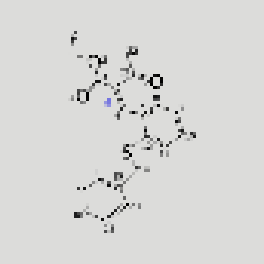 CCOC(=O)/C(=C/c1ccccc1SCc1ccccc1)C(C)=O